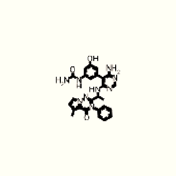 Cc1ccn2nc(C(C)Nc3ncnc(N)c3-c3cc(O)cc(NC(N)=O)c3)n(-c3ccccc3)c(=O)c12